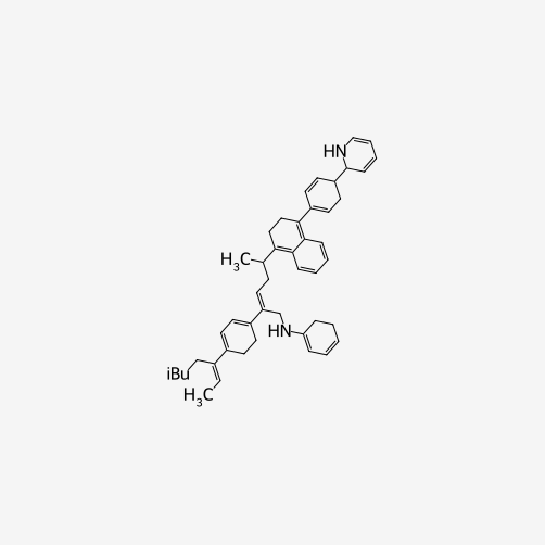 C/C=C(\CC(C)CC)C1=CC=C(/C(=C/CC(C)C2=c3ccccc3=C(C3=CCC(C4C=CC=CN4)C=C3)CC2)CNC2=CC=CCC2)CC1